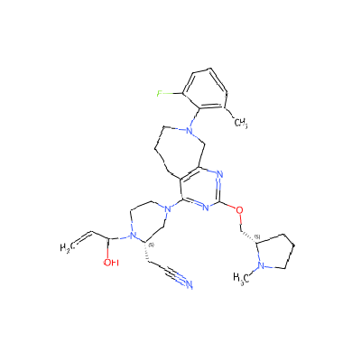 C=CC(O)N1CCN(c2nc(OC[C@@H]3CCCN3C)nc3c2CCCN(c2c(C)cccc2F)C3)C[C@@H]1CC#N